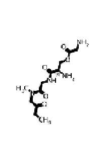 CCC(=O)CN(C)C(=O)CNC(=O)[C@H](N)COC(=O)CN